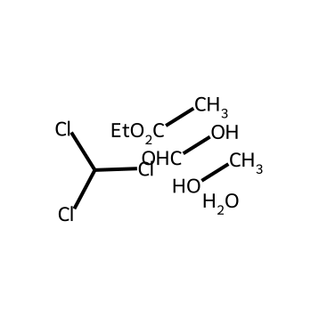 CCOC(C)=O.CO.ClC(Cl)Cl.O.O=CO